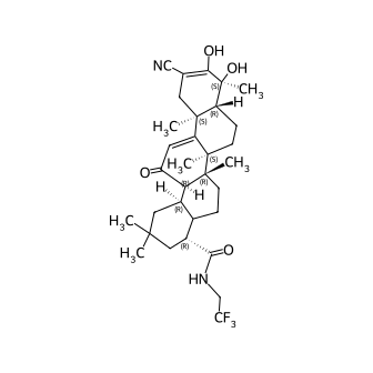 CC1(C)C[C@@H]2C(CC[C@]3(C)[C@@H]2C(=O)C=C2[C@@]4(C)CC(C#N)=C(O)[C@@](C)(O)[C@@H]4CC[C@]23C)[C@H](C(=O)NCC(F)(F)F)C1